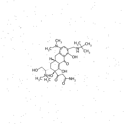 CN(C)c1cc(CNC(C)(C)C)c(O)c2c1C[C@H]1C[C@@H](C(CO)N(C)C)[C@@](O)(C(=O)CC(N)=O)C(O)=C1C2=O